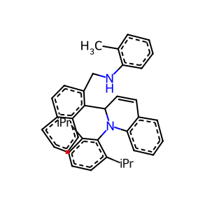 Cc1ccccc1NCc1ccc2ccccc2c1C1C=Cc2ccccc2N1c1c(C(C)C)cccc1C(C)C